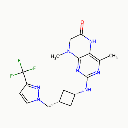 Cc1nc(N[C@H]2C[C@@H](Cn3ccc(C(F)(F)F)n3)C2)nc2c1NC(=O)CN2C